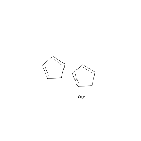 C1=CCC=C1.C1=CCC=C1.[Au]